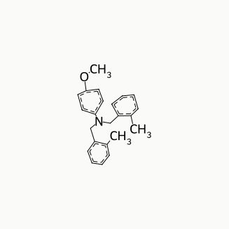 COc1ccc(N(Cc2ccccc2C)Cc2ccccc2C)cc1